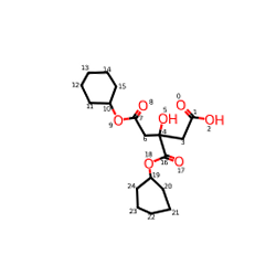 O=C(O)CC(O)(CC(=O)OC1CCCCC1)C(=O)OC1CCCCC1